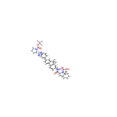 CC(C)(C)OC(=O)N1CCC[C@H]1c1nc2cc(-c3ccc4c(c3)C(C)(C)c3cc(NC(=O)C5CC6CCCC[C@@H]6N5C(=O)O)ccc3-4)ccc2[nH]1